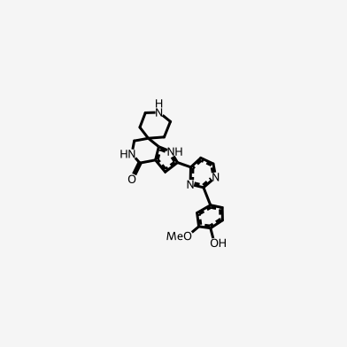 COc1cc(-c2nccc(-c3cc4c([nH]3)C3(CCNCC3)CNC4=O)n2)ccc1O